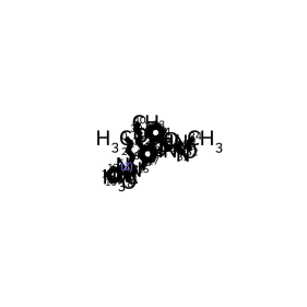 CCCC/C(=N/C1(C=O)CCCC1)N(C)Cc1ccc(-c2ccccc2S(=O)(=O)NC2=NOC(C)N2)c(COCC)c1